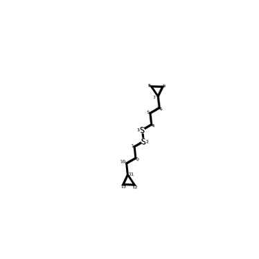 C(CSSCCCC1CC1)CC1CC1